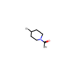 CCCC(=O)N1CCC(CC)CC1